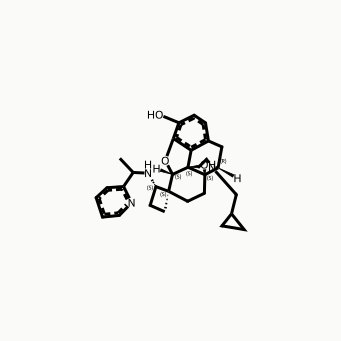 CC(N[C@H]1CC[C@]12CC[C@@]1(O)[C@H]3Cc4ccc(O)c5c4[C@@]1(CCN3CC1CC1)[C@H]2O5)c1ccccn1